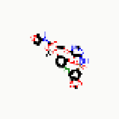 COc1ccc(Cl)c(Oc2c(NS(=O)(=O)c3ccc4c(c3)OCO4)ncnc2OCCOC(=O)Nc2ccoc2)c1